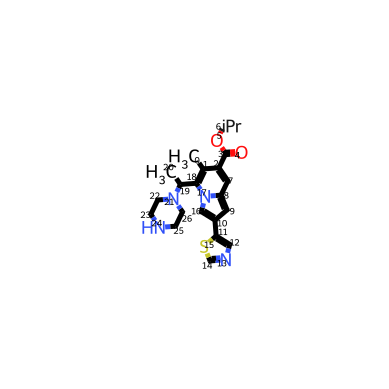 Cc1c(C(=O)OC(C)C)cc2cc(-c3cncs3)cn2c1C(C)N1CCNCC1